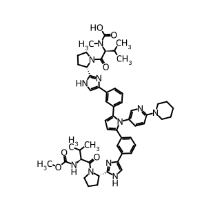 COC(=O)N[C@H](C(=O)N1CCC[C@H]1c1nc(-c2cccc(-c3ccc(-c4cccc(-c5c[nH]c([C@@H]6CCCN6C(=O)[C@H](C(C)C)N(C)C(=O)O)n5)c4)n3-c3ccc(N4CCCCC4)nc3)c2)c[nH]1)C(C)C